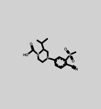 CC(C)C1CN(c2ccc(C#N)c(S(C)(=O)=O)c2)CCN1C(=O)O